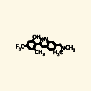 Cc1cc(C(F)(F)F)cc(O)c1-c1cc2ccc(CN(C)C)cc2nn1